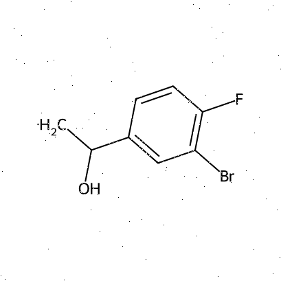 [CH2]C(O)c1ccc(F)c(Br)c1